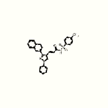 Cc1ccc(S(=O)(=O)NC(=O)/C=C/c2cn(-c3ccccc3)nc2-c2ccc3ccccc3c2)cc1